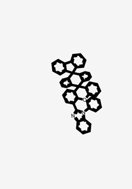 c1ccc(-n2c(-c3cccc4c3Oc3ccccc3C43c4ccccc4C4(c5ccccc5-c5ccccc54)c4ccccc43)nc3ccccc32)cc1